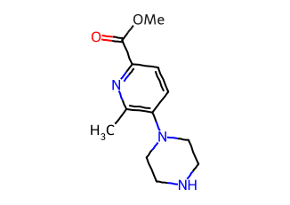 COC(=O)c1ccc(N2CCNCC2)c(C)n1